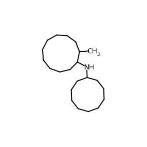 CC1CCCCCCCCCC1NC1CCCCCCCCC1